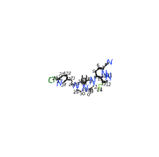 C[C@@H]1CN(c2ccc(C#N)n3ncc(F)c23)C[C@@H]2CN(CCc3ccc(Cl)nc3)CCN21